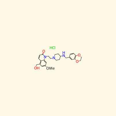 COc1cc(CO)c2ccc(=O)n(CCN3CCC(NCc4ccc5c(c4)OCCO5)CC3)c2c1.Cl